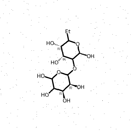 CCC1OC(O)C(OC2OC(O)C(O)[C@H](O)[C@@H]2O)[C@H](O)[C@@H]1O